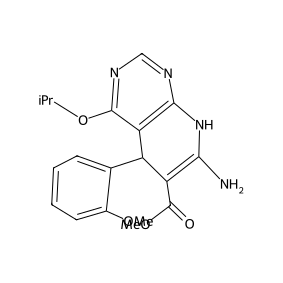 COC(=O)C1=C(N)Nc2ncnc(OC(C)C)c2C1c1ccccc1OC